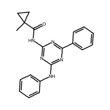 CC1(C(=O)Nc2nc(Nc3ccccc3)nc(-c3ccccc3)n2)CC1